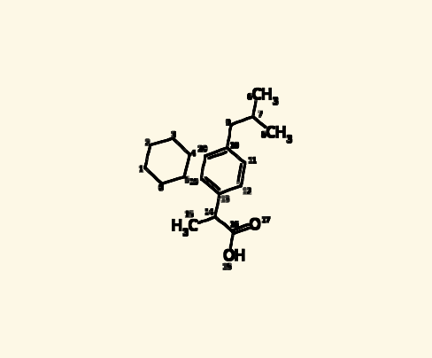 C1CCCCC1.CC(C)Cc1ccc(C(C)C(=O)O)cc1